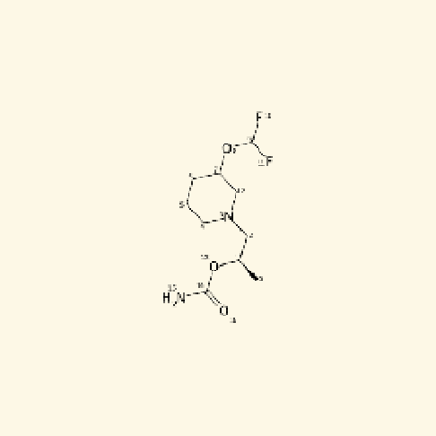 C[C@H](CN1CCCC(OC(F)F)C1)OC(N)=O